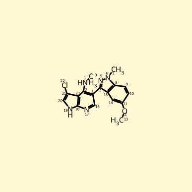 CNc1c(-c2nn(C)c3ccc(OC)cc23)cnc2[nH]cc(Cl)c12